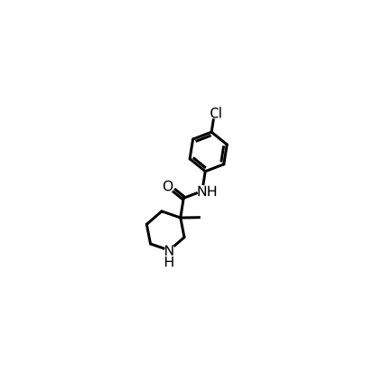 CC1(C(=O)Nc2ccc(Cl)cc2)CCCNC1